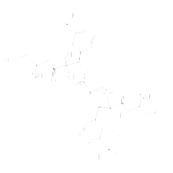 CCC(N)CC(=O)C(C)(C)C(OC(=O)C(=O)OC(c1cccc(C(F)(F)F)c1)C(C)(C)C(=O)CC(N)CC)c1cccc(C(F)(F)F)c1